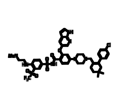 CNCCNc1ccc(S(=O)(=O)NC(=O)c2ccc(N3CCN(CC4=C(c5ccc(Cl)cc5)CC(C)(C)CC4)CC3)cc2Oc2cnc3[nH]ccc3c2)cc1S(=O)(=O)C(F)(F)F